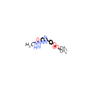 CCNC(=O)Nc1ccc2ncc(-c3ccc(OC(=O)OCC(C)C)cc3)nc2n1